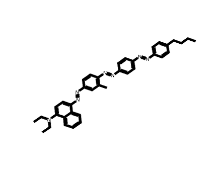 CCCCc1ccc(N=Nc2ccc(N=Nc3ccc(N=Nc4ccc(N(CC)CC)c5ccccc45)cc3C)cc2)cc1